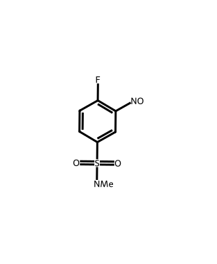 CNS(=O)(=O)c1ccc(F)c(N=O)c1